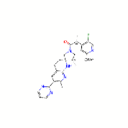 COc1cc([C@@H](C)C(=O)N2C[C@H](C)C3(CCc4cc(-c5ncccn5)c(C)nc4N3)C2)c(F)cn1